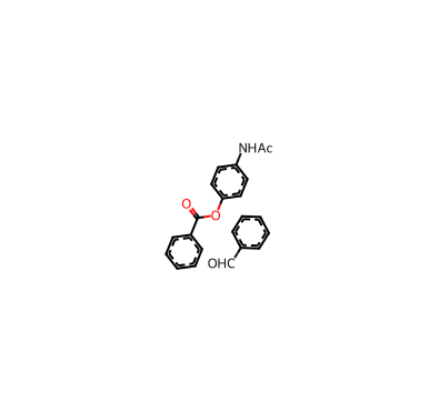 CC(=O)Nc1ccc(OC(=O)c2ccccc2)cc1.O=Cc1ccccc1